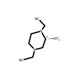 N#CCN1CCN(CC#N)[C@H](C(F)(F)F)C1